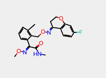 CNC(=O)/C(=N/OC)c1cccc(C)c1CO/N=C1\CCOc2cc(F)ccc21